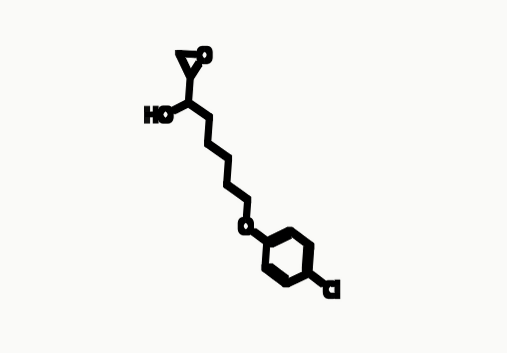 OC(CCCCCOc1ccc(Cl)cc1)C1CO1